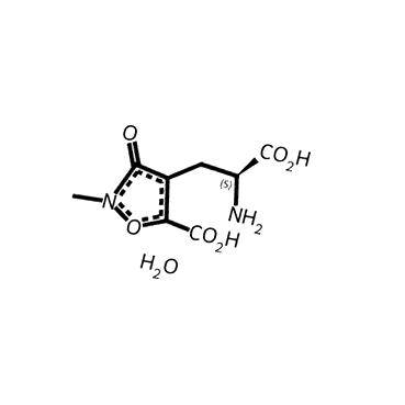 Cn1oc(C(=O)O)c(C[C@H](N)C(=O)O)c1=O.O